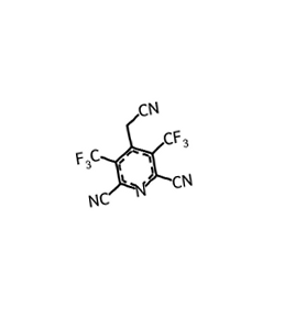 N#CCc1c(C(F)(F)F)c(C#N)nc(C#N)c1C(F)(F)F